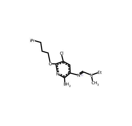 Bc1nc(OCCCC(C)C)c(Cl)cc1/N=C/N(C)CC